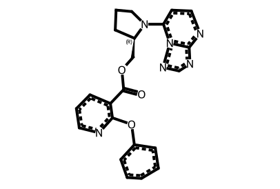 O=C(OC[C@H]1CCCN1c1ccnc2ncnn12)c1cccnc1Oc1ccccc1